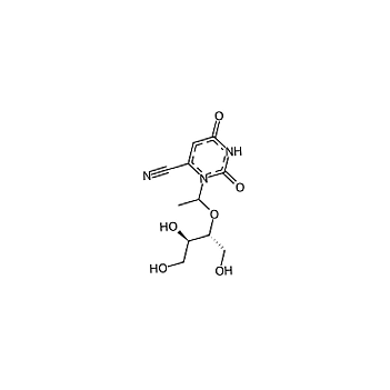 CC(O[C@H](CO)[C@H](O)CO)n1c(C#N)cc(=O)[nH]c1=O